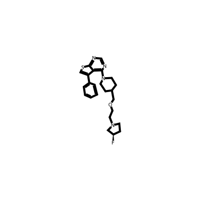 F[C@@H]1CCN(CCOCC2CCN(c3ncnc4scc(-c5ccccc5)c34)CC2)C1